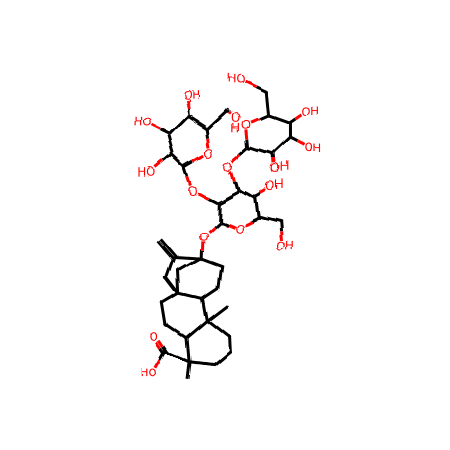 C=C1CC23CCC4C(C)(C(=O)O)CCCC4(C)C2CCC1(OC1OC(CO)C(O)C(OC2OC(CO)C(O)C(O)C2O)C1OC1OC(CO)[C@H](O)C(O)C1O)C3